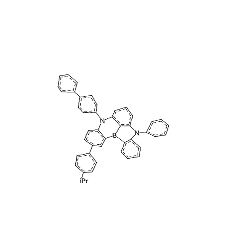 CC(C)c1ccc(-c2ccc3c(c2)B2c4ccccc4N(c4ccccc4)c4cccc(c42)N3c2ccc(-c3ccccc3)cc2)cc1